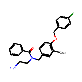 COc1cc(CN(CCN)C(=O)c2ccccc2)ccc1OCc1ccc(F)cc1